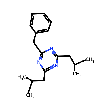 CC(C)Cc1nc(Cc2ccccc2)nc(CC(C)C)n1